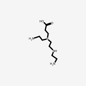 NCCNCCN(CCN)CCC(=O)O